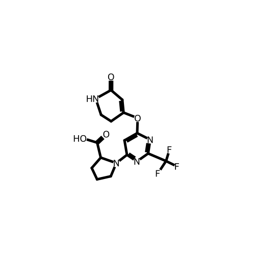 O=C1C=C(Oc2cc(N3CCCC3C(=O)O)nc(C(F)(F)F)n2)CCN1